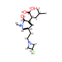 CC(C)C[C@H](C(=O)O)c1cc(CCN2CC(F)C2)cn(C)c1=O